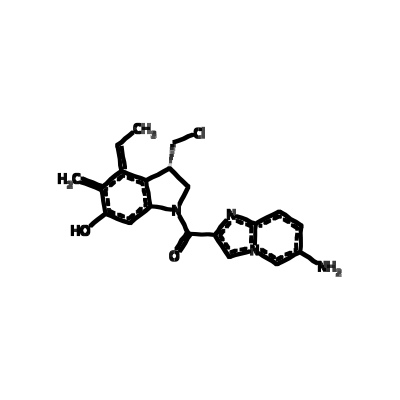 C=c1c(O)cc2c(/c1=C\C)[C@H](CCl)CN2C(=O)c1cn2cc(N)ccc2n1